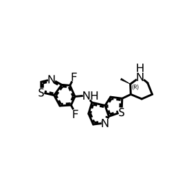 C[C@H]1NCCCC1c1cc2c(Nc3c(F)cc4scnc4c3F)ccnc2s1